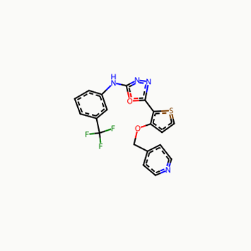 FC(F)(F)c1cccc(Nc2nnc(-c3sccc3OCc3ccncc3)o2)c1